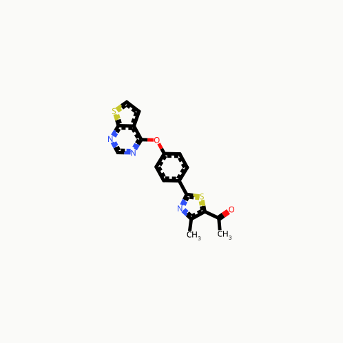 CC(=O)c1sc(-c2ccc(Oc3ncnc4sccc34)cc2)nc1C